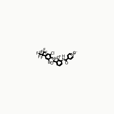 COc1c(NC(=O)c2cc[n+]([O-])cc2)cccc1C(=O)Nc1c(Cl)cc(C(F)(C(F)(F)F)C(F)(F)F)cc1Br